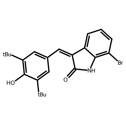 CC(C)(C)c1cc(C=C2C(=O)Nc3c(Br)cccc32)cc(C(C)(C)C)c1O